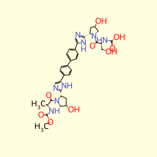 COC(=O)N[C@@H](C)C(=O)N1C[C@H](O)C[C@H]1c1ncc(-c2ccc(-c3ccc(-c4cnc([C@@H]5C[C@@H](O)CN5C(=O)[C@H](CO)NC(=O)O)[nH]4)cc3)cc2)[nH]1